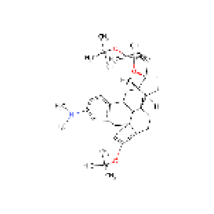 CN(C)c1ccc2c(c1)C[C@]13CC=C(O[Si](C)(C)C)C=C1CC[C@@H]1C3C2C[C@@]2(C)[C@H]1CC[C@]2(/C=C\CO[Si](C)(C)C)O[Si](C)(C)C